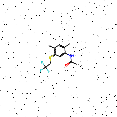 CC(=O)Nc1cc(SCC(F)(F)F)c(C)cc1C